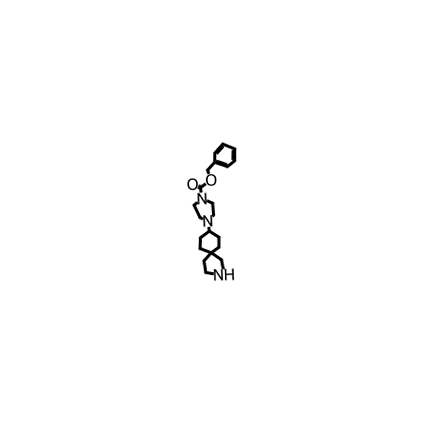 O=C(OCc1ccccc1)N1CCN(C2CCC3(CCNCC3)CC2)CC1